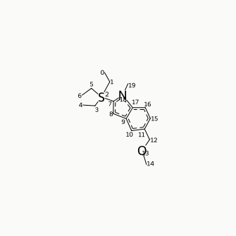 CCS(CC)(CC)c1cc2cc(COC)ccc2n1C